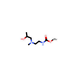 CC(O)CN(C)CCNC(=O)OC(C)(C)C